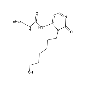 CCCCCCNC(=O)Nc1ccnc(=O)n1CCCCCCO